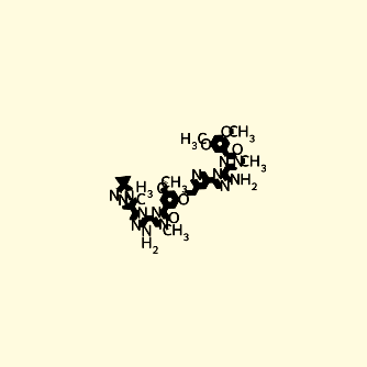 COc1cc(OC)cc(-c2nc(-c3nc(-c4cncc(CCOc5cc(OC)cc(-c6nc(-c7nc(-c8cnn(CC9(C#N)CC9)c8C)cnc7N)cn(C)c6=O)c5)c4)cnc3N)cn(C)c2=O)c1